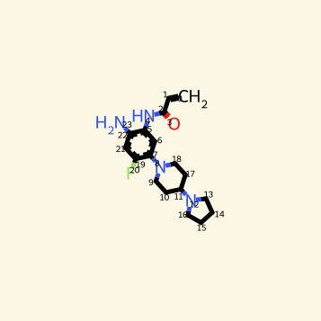 C=CC(=O)Nc1cc(N2CCC(N3CCCC3)CC2)c(F)cc1N